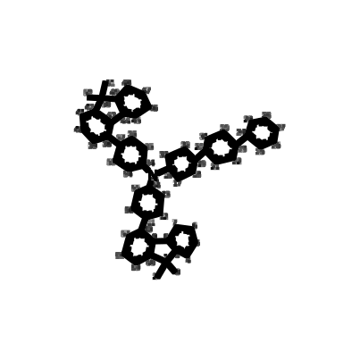 CC1(C)c2ccccc2-c2c(-c3ccc(N(c4ccc(-c5ccc(-c6ccccc6)cc5)cc4)c4ccc(-c5cccc6c5-c5ccccc5C6(C)C)cc4)cc3)cccc21